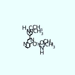 CC1(C)CNC[C@H](COc2nc(-c3cnn(C(C)(C)C)c3)cc3ncccc23)O1